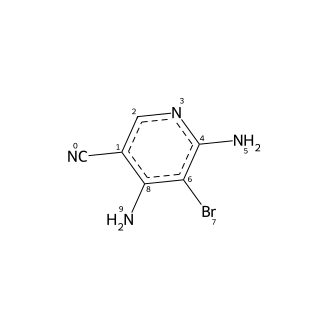 N#Cc1cnc(N)c(Br)c1N